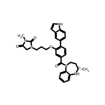 C[C@H]1CCN(C(=O)c2ccc(-c3ccc4[nH]ccc4c3)c(OCCCN3CC(=O)N(C)C3=O)c2)c2ccccc2N1